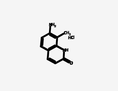 Cc1c(N)ccc2ccc(=O)[nH]c12.Cl